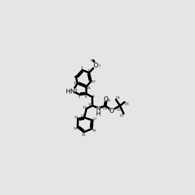 COc1ccc2[nH]cc(CC(Cc3ccccc3)NC(=O)OC(C)(C)C)c2c1